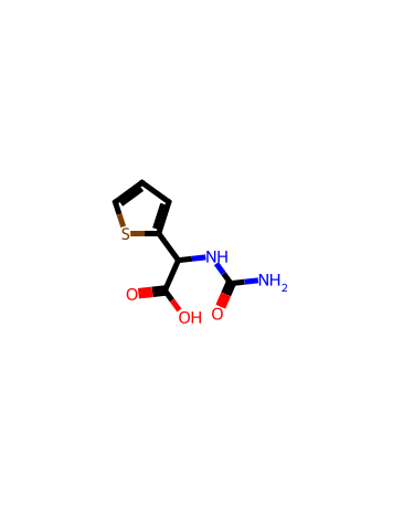 NC(=O)NC(C(=O)O)c1cccs1